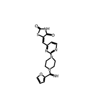 N=C(c1ccco1)N1CCN(c2nccc(/C=C3/SC(=O)NC3=O)n2)CC1